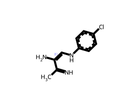 CC(=N)/C(N)=C\Nc1ccc(Cl)cc1